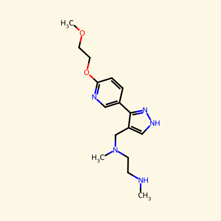 CNCCN(C)Cc1c[nH]nc1-c1ccc(OCCOC)nc1